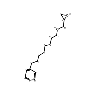 c1ccc(CCCCCCCCOCC2CO2)cc1